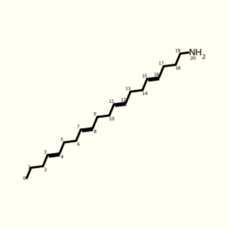 CCCC=CCCC=CCCC=CCCC=CCCCN